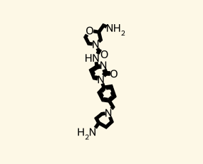 NCC1CN(C(=O)Nc2ccn(-c3ccc(CN4CCC(N)CC4)cc3)c(=O)n2)CCO1